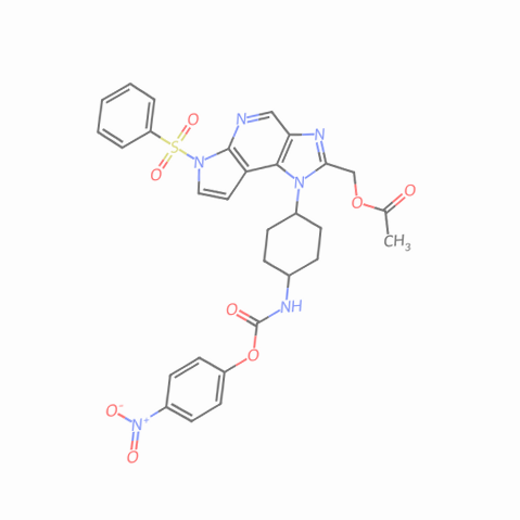 CC(=O)OCc1nc2cnc3c(ccn3S(=O)(=O)c3ccccc3)c2n1C1CCC(NC(=O)Oc2ccc([N+](=O)[O-])cc2)CC1